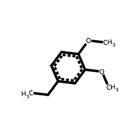 CCc1[c]cc(OC)c(OC)c1